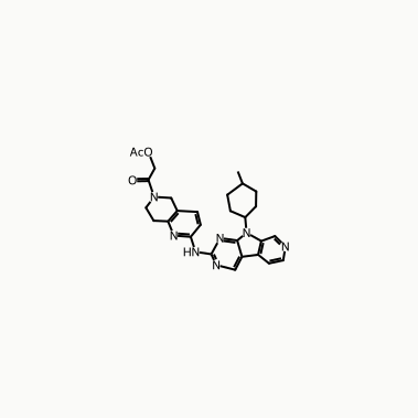 CC(=O)OCC(=O)N1CCc2nc(Nc3ncc4c5ccncc5n(C5CCC(C)CC5)c4n3)ccc2C1